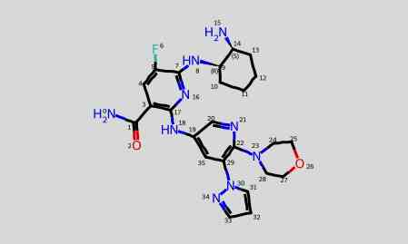 NC(=O)c1cc(F)c(N[C@@H]2CCCC[C@@H]2N)nc1Nc1cnc(N2CCOCC2)c(-n2cccn2)c1